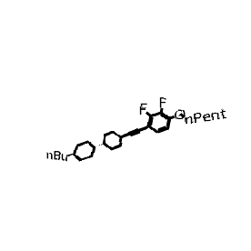 CCCCCOc1ccc(C#CC2CCC([C@H]3CC[C@H](CCCC)CC3)CC2)c(F)c1F